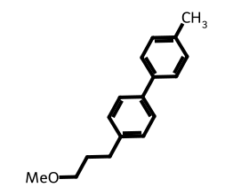 COCCCc1ccc(-c2ccc(C)cc2)cc1